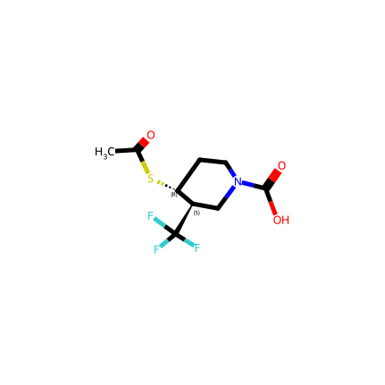 CC(=O)S[C@@H]1CCN(C(=O)O)C[C@H]1C(F)(F)F